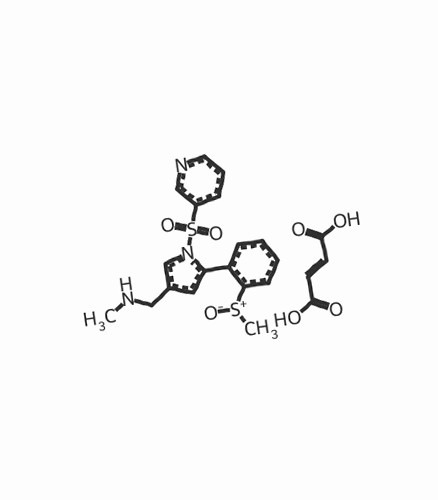 CNCc1cc(-c2ccccc2[S+](C)[O-])n(S(=O)(=O)c2cccnc2)c1.O=C(O)/C=C/C(=O)O